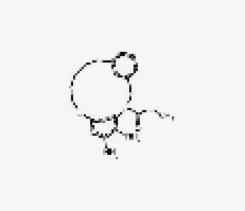 COC(=O)N1Cc2cccc(c2)CCCCCOc2cc1c(N)c(N)n2